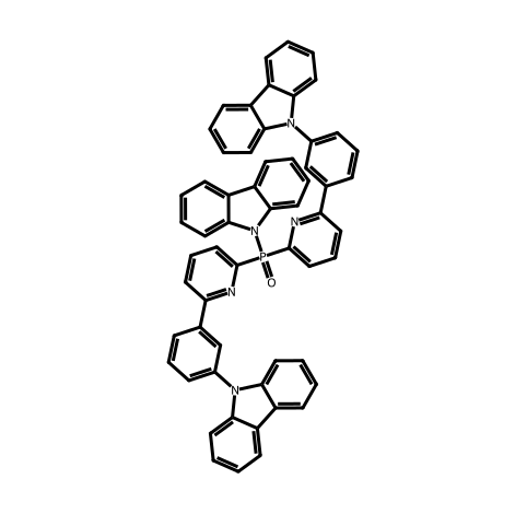 O=P(c1cccc(-c2cccc(-n3c4ccccc4c4ccccc43)c2)n1)(c1cccc(-c2cccc(-n3c4ccccc4c4ccccc43)c2)n1)n1c2ccccc2c2ccccc21